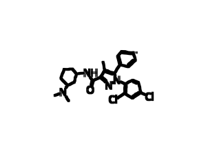 Cc1c(C(=O)NC2CCCC(N(C)C)C2)nn(-c2ccc(Cl)cc2Cl)c1-c1cc[c]cc1